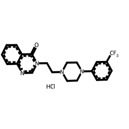 Cl.O=c1c2ccccc2ncn1CCN1CCN(c2cccc(C(F)(F)F)c2)CC1